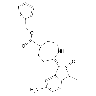 CN1C(=O)/C(=C2/CCN(C(=O)OCc3ccccc3)CCN2)c2cc(N)ccc21